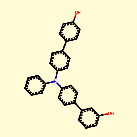 Oc1ccc(-c2ccc(N(c3ccccc3)c3ccc(-c4cccc(O)c4)cc3)cc2)cc1